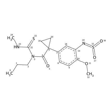 CCCN(C(=O)C1(c2ccc(OC)c(N=S(=O)=O)c2)CC1)C(=S)NC